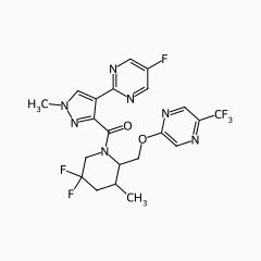 CC1CC(F)(F)CN(C(=O)c2nn(C)cc2-c2ncc(F)cn2)C1COc1cnc(C(F)(F)F)cn1